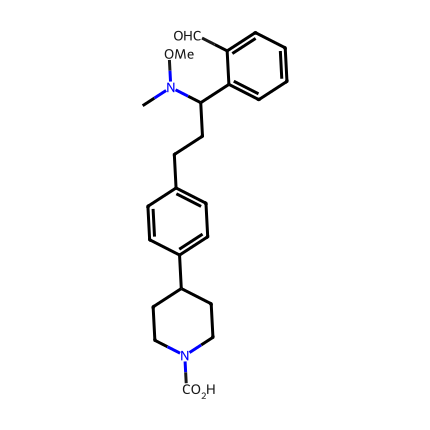 CON(C)C(CCc1ccc(C2CCN(C(=O)O)CC2)cc1)c1ccccc1C=O